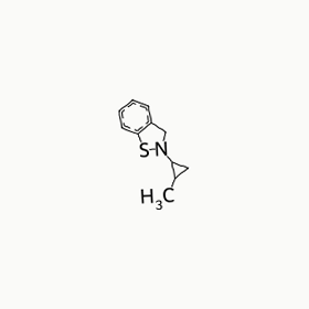 CC1CC1N1Cc2ccccc2S1